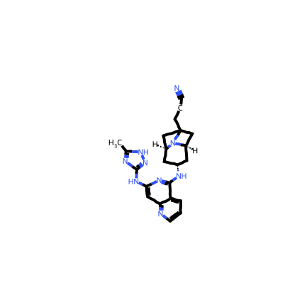 Cc1nc(Nc2cc3ncccc3c(N[C@H]3C[C@@H]4CC5(CCC#N)C[C@H](C3)N45)n2)n[nH]1